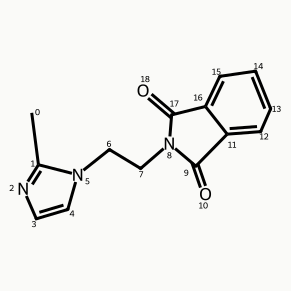 Cc1nccn1CCN1C(=O)c2ccccc2C1=O